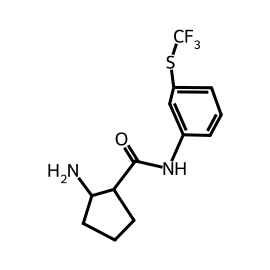 NC1CCCC1C(=O)Nc1cccc(SC(F)(F)F)c1